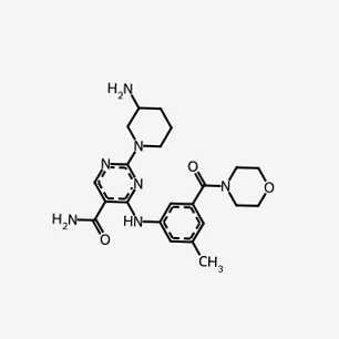 Cc1cc(Nc2nc(N3CCCC(N)C3)ncc2C(N)=O)cc(C(=O)N2CCOCC2)c1